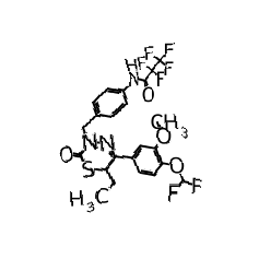 CCC1SC(=O)N(Cc2ccc(NC(=O)C(F)(F)C(F)(F)F)cc2)N=C1c1ccc(OC(F)F)c(OC)c1